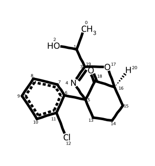 CC(O)C1=NC2(c3ccccc3Cl)CCC[C@H](O1)C2=O